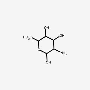 NC1C(O)OC(C(=O)O)C(O)C1O